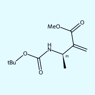 C=C(C(=O)OC)[C@@H](C)NC(=O)OC(C)(C)C